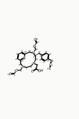 O=COCN1CCN(CC(=O)O)C[C@H](Cc2ccc(N=C=S)cc2)N(COC=O)Cc2cccc(n2)C1